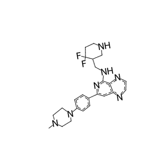 CN1CCN(c2ccc(-c3cc4nccnc4c(NCC4CNCCC4(F)F)n3)cc2)CC1